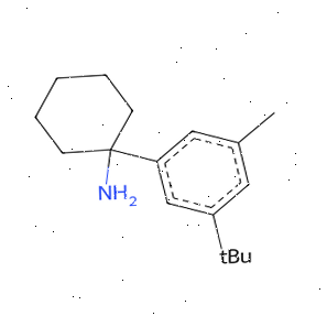 Cc1cc(C(C)(C)C)cc(C2(N)CCCCC2)c1